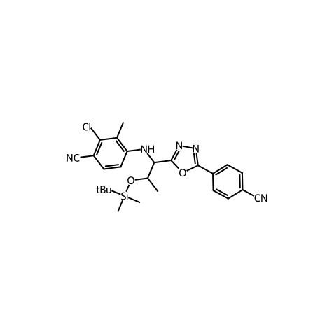 Cc1c(NC(c2nnc(-c3ccc(C#N)cc3)o2)C(C)O[Si](C)(C)C(C)(C)C)ccc(C#N)c1Cl